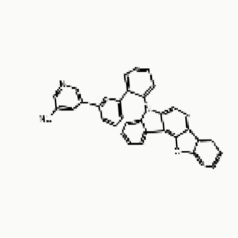 N#Cc1cncc(-c2cccc(-c3ccccc3-n3c4ccccc4c4c5oc6ccccc6c5ccc43)c2)c1